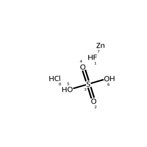 Cl.F.O=S(=O)(O)O.[Zn]